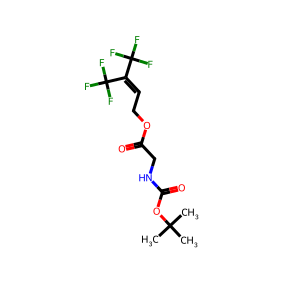 CC(C)(C)OC(=O)NCC(=O)OCC=C(C(F)(F)F)C(F)(F)F